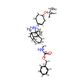 CC(C)(C)[Si](C)(C)O[C@H]1CC[C@H](N[C@@H]2[C@@H]3CC4C[C@H]2C[C@](CNC(=O)OCc2ccccc2)(C4)C3)CC1